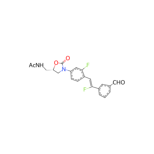 CC(=O)NC[C@H]1CN(c2ccc(C=C(F)c3cccc(C=O)c3)c(F)c2)C(=O)O1